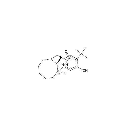 CC(C)(C)OC(=O)N[C@H]1C2CCCCC[C@]1(C)c1cc(O)ccc1C2